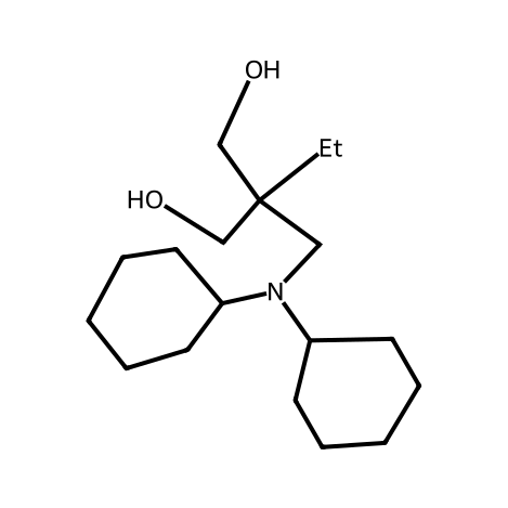 CCC(CO)(CO)CN(C1CCCCC1)C1CCCCC1